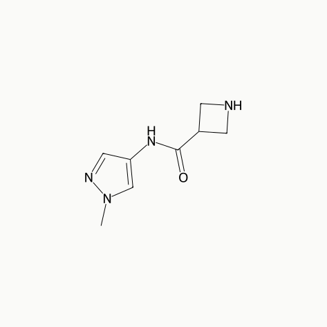 Cn1cc(NC(=O)C2CNC2)cn1